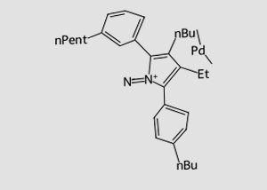 CCCCCc1cccc(C2=C(CCCC)C(CC)=C(c3ccc(CCCC)cc3)[N+]2=[N-])c1.[CH3][Pd][CH3]